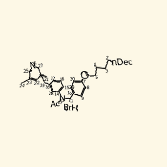 Br.CCCCCCCCCCCCCCOc1ccc(CN(C(C)=O)c2cccc(CC3(C)C=C(C)C=NC3)c2)cc1